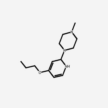 CCCOC1=CC(N2CCN(C)CC2)NC=C1